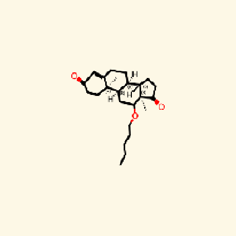 CCCCCOC1C[C@@H]2[C@@H](CCC3=CC(=O)CC[C@@]32C)[C@@H]2CCC(=O)[C@@]12C